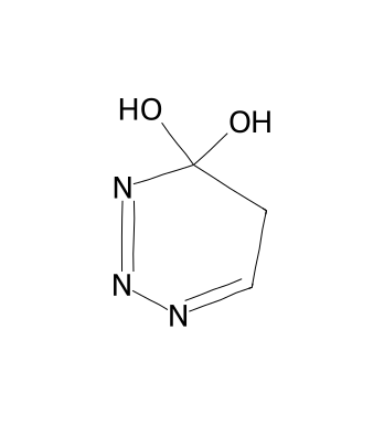 OC1(O)CC=NN=N1